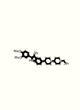 CCCc1c(-c2ccc(OC)c(OC)c2)[nH]c2ccc(C3CCN(C4CCN(CC(C)C)CC4)CC3)cc12